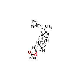 CCCCC(=O)O[C@H]1CC[C@@]2(C)[C@@H](CC[C@@H]3[C@@H]2CC[C@]2(C)[C@@H]([C@H](C)CC[C@@H](CC)C(C)C)CC[C@@H]32)C1